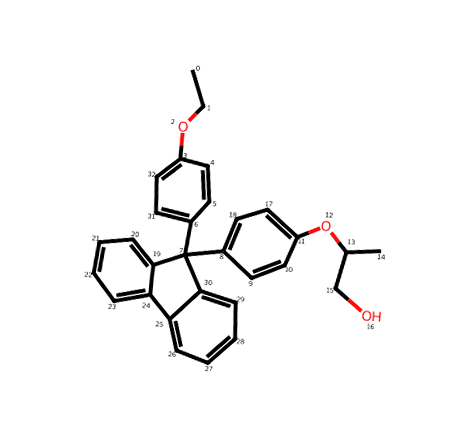 CCOc1ccc(C2(c3ccc(OC(C)CO)cc3)c3ccccc3-c3ccccc32)cc1